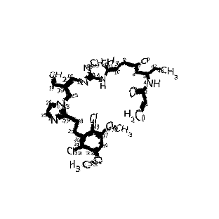 C=CC(=O)N/C(=C/C(Cl)=C\C=C(/C)N/C(N=C)=N/C=C(/C=C)Cn1ccnc1CCc1c(Cl)c(OC)cc(OC)c1Cl)CC